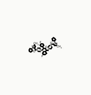 Cc1cc(C(=O)N2CCN(CC(C(=O)C(CN3CCN(C(=O)c4cc(C)nn4-c4ccccc4)CC3)c3ccc(F)cc3)c3ccc(F)cc3)CC2)n(-c2ccccc2)n1